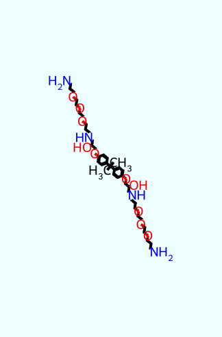 CC(C)(c1ccc(OCC(O)CNCCCOCCOCCOCCCN)cc1)c1ccc(OCC(O)CNCCCOCCOCCOCCCN)cc1